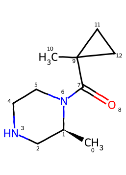 C[C@H]1CNCCN1C(=O)C1(C)CC1